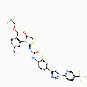 Cc1ccc(COCC(F)(F)F)c(N2C(=O)CS/C2=N\C(=O)Nc2ccc(-c3cn(-c4ccc(C(F)(F)F)cn4)cn3)cc2F)c1